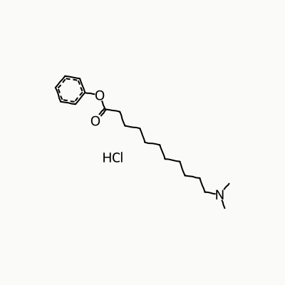 CN(C)CCCCCCCCCCC(=O)Oc1ccccc1.Cl